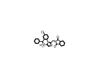 Cc1cnc(CN2C(=O)c3ccccc3C2=O)n1-c1ccc(Cl)cc1C(=O)c1ccccc1